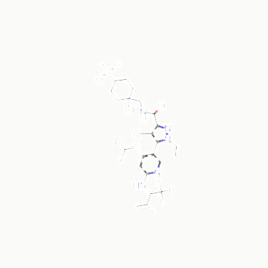 CCn1nc(C(=O)NC[C@]2(O)CC[C@@H](S(C)(=O)=O)CC2)c(Cl)c1-c1cnc(NC(C(C)C)C(F)(F)F)cc1OC(F)F